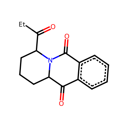 CCC(=O)C1CCCC2C(=O)c3ccccc3C(=O)N12